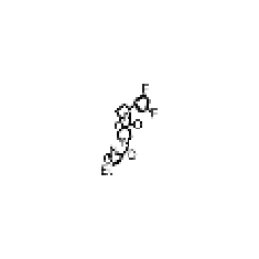 CCc1cc(C(=O)N2CCC3(CC2)OC2CCC(c4cc(F)cc(F)c4)N2C3=O)no1